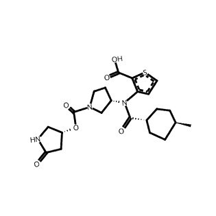 C[C@H]1CC[C@H](C(=O)N(c2ccsc2C(=O)O)[C@H]2CCN(C(=O)O[C@H]3CNC(=O)C3)C2)CC1